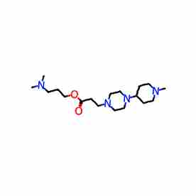 CN(C)CCCOC(=O)CCN1CCN(C2CCN(C)CC2)CC1